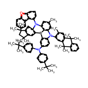 Cc1cc2c3c(c1)N(c1cccc4oc5ccccc5c14)c1cc4c(cc1B3c1cc(N(c3ccc(C(C)(C)C)cc3)c3ccc(C(C)(C)C)cc3)ccc1N2c1cc2c(cc1C)C(C)(C)c1ccccc1C2(C)C)C(C)(C)CC4(C)C